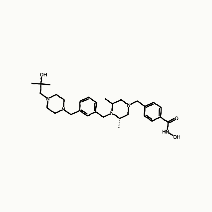 CC1CN(Cc2ccc(C(=O)NO)cc2)C[C@H](C)N1Cc1cccc(CN2CCN(CC(C)(C)O)CC2)c1